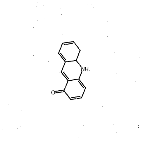 O=C1C=CC=C2NC3CC=CC=C3[C]=C12